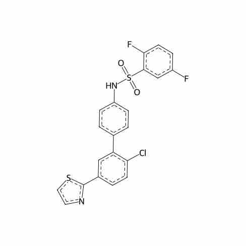 O=S(=O)(Nc1ccc(-c2cc(-c3nccs3)ccc2Cl)cc1)c1cc(F)ccc1F